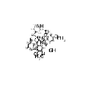 COc1ccc(S(=O)(=O)N2C(=O)C(CCCC3CCNCC3)(c3ccccc3F)c3cc(Cl)c(OC)cc32)c(OC)c1.Cl